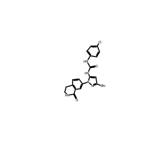 CC(C)(C)c1cc(NC(=O)Nc2ccc(Cl)cc2)n(-c2ccc3c(c2)C(=O)NCC3)n1